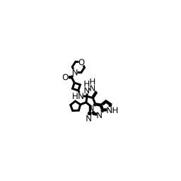 N#CCC(C1CCCC1)C1(NC2CC(C(=O)N3CCOCC3)C2)NNC=C1c1ncnc2[nH]ccc12